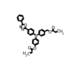 C=CC(=O)OCc1ccc(N(c2ccc(OC(=O)C=C)cc2)c2ccc(-c3nnc(-c4ccccc4)o3)cc2)cc1